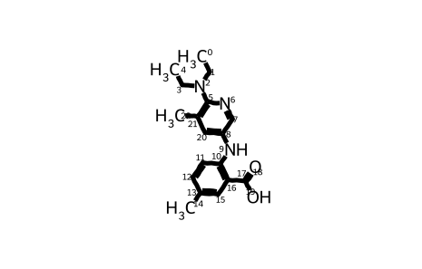 CCN(CC)c1ncc(Nc2ccc(C)cc2C(=O)O)cc1C